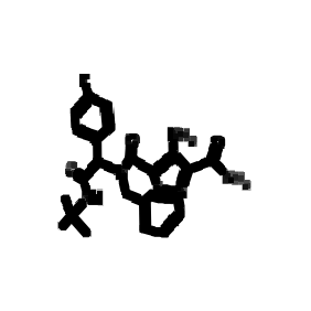 CC(C)(C)NC(=O)C(c1ccc(F)cc1)N(Cc1ccccc1)C(=O)c1snc(C(N)=O)c1N